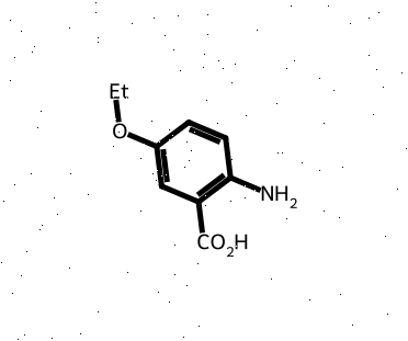 CCOc1ccc(N)c(C(=O)O)c1